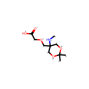 CNC1(COCC(=O)O)COC(C)(C)OC1